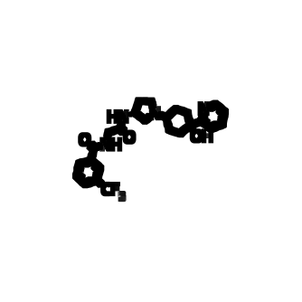 O=C(CNC(=O)c1cccc(C(F)(F)F)c1)N[C@@H]1CCN(C2CCC(O)(c3ccccn3)CC2)C1